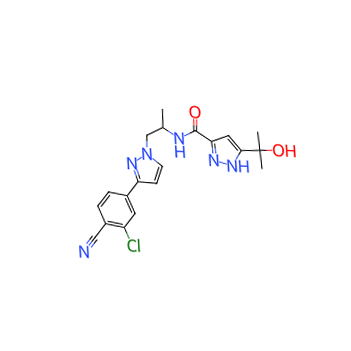 CC(Cn1ccc(-c2ccc(C#N)c(Cl)c2)n1)NC(=O)c1cc(C(C)(C)O)[nH]n1